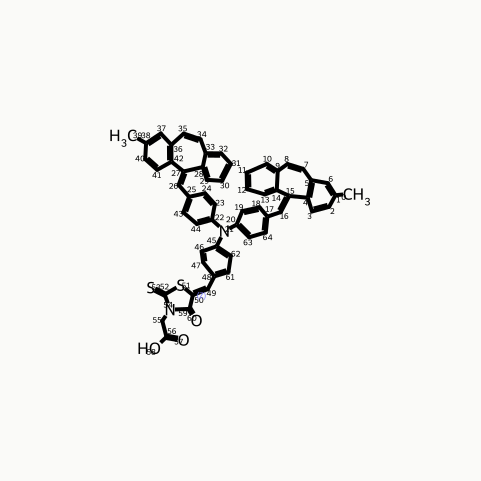 Cc1ccc2c(c1)C=Cc1ccccc1C2=Cc1ccc(N(c2ccc(C=C3c4ccccc4C=Cc4cc(C)ccc43)cc2)c2ccc(/C=C3\SC(=S)N(CC(=O)O)C3=O)cc2)cc1